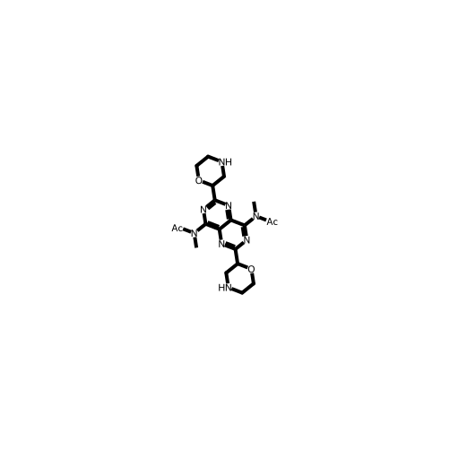 CC(=O)N(C)c1nc(C2CNCCO2)nc2c(N(C)C(C)=O)nc(C3CNCCO3)nc12